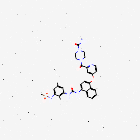 CCNC(=O)N1CCN(C(=O)c2cc(Oc3ccc(NC(=O)Nc4cc(C(C)(C)C)cc(NS(C)(=O)=O)c4OC)c4ccccc34)ccn2)CC1